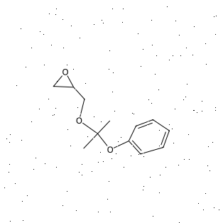 CC(C)(OCC1CO1)Oc1ccccc1